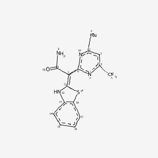 CC(C)(C)c1cc(C(F)(F)F)nc(/C(C(N)=O)=C2/Nc3ccccc3S2)n1